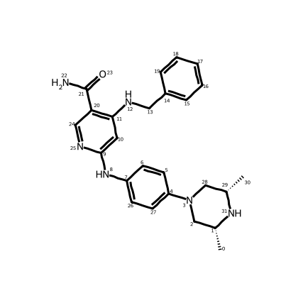 C[C@@H]1CN(c2ccc(Nc3cc(NCc4ccccc4)c(C(N)=O)cn3)cc2)C[C@H](C)N1